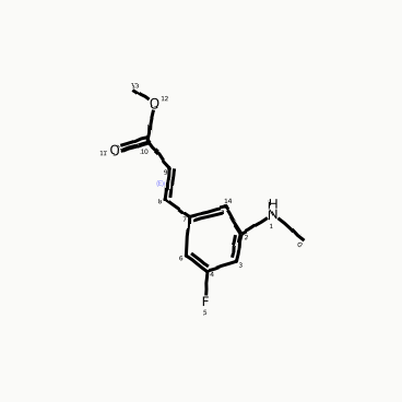 CNc1cc(F)cc(/C=C/C(=O)OC)c1